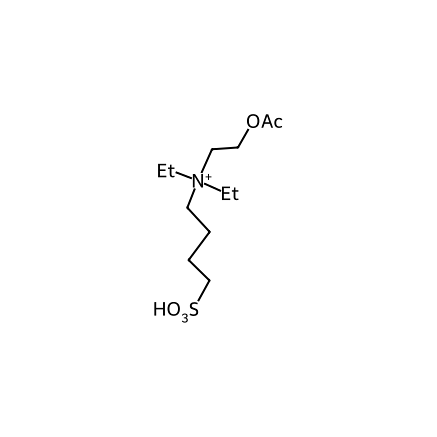 CC[N+](CC)(CCCCS(=O)(=O)O)CCOC(C)=O